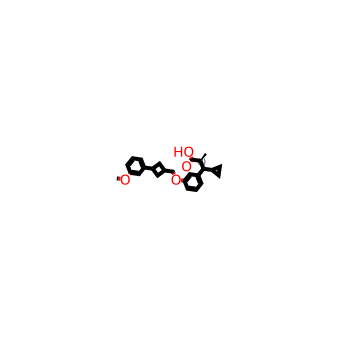 COc1cccc(C2CC(COc3cccc(C(C4CC4)[C@H](C)C(=O)O)c3)C2)c1